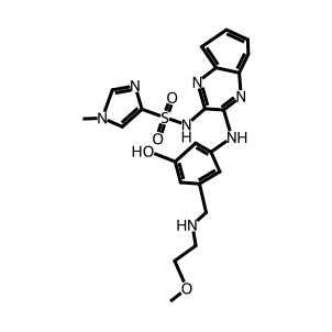 COCCNCc1cc(O)cc(Nc2nc3ccccc3nc2NS(=O)(=O)c2cn(C)cn2)c1